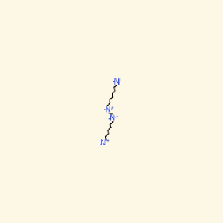 C[N+](C)(C)CCCCCCCC[N+](C)(C)CC[N+](C)(C)CCCCCCC[N+](C)(C)C